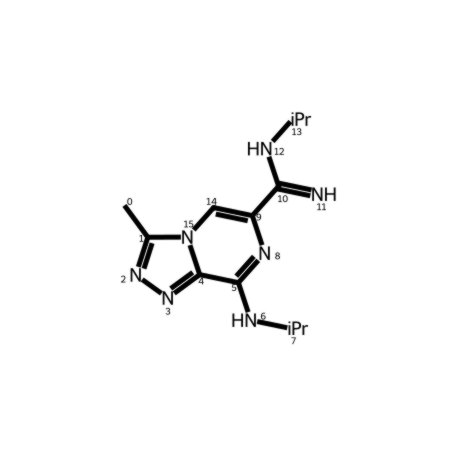 Cc1nnc2c(NC(C)C)nc(C(=N)NC(C)C)cn12